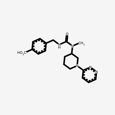 CN(C(=O)NCc1ccc(C(=O)O)cc1)C1CCCN(c2cccnn2)C1